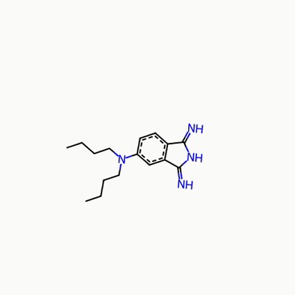 CCCCN(CCCC)c1ccc2c(c1)C(=N)NC2=N